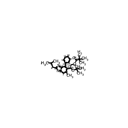 Cc1cc2nc(CC(C)C)sc2c(-c2ccccc2)c1[C@@H](COC(=O)C(C)(C)C)OC(C)(C)C